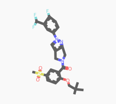 CC(C)(C)COc1ccc(S(C)(=O)=O)cc1C(=O)N1Cc2cn(-c3ccc(F)c(C(F)F)c3)nc2C1